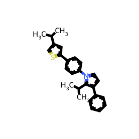 CC(C)c1csc(-c2ccc(-n3ccc(-c4ccccc4)c3C(C)C)cc2)c1